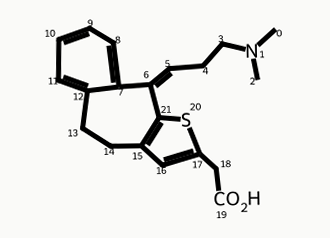 CN(C)CCC=C1c2ccccc2CCc2cc(CC(=O)O)sc21